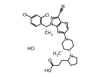 C[C@@H]1CN(c2cnc3c(C#N)nn([C@H](C)c4ccc(Cl)cc4Cl)c3n2)CC[C@@H]1N1CCCC1CCC(=O)O.Cl